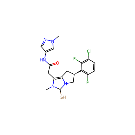 CN1C(CC(=O)Nc2cnn(C)c2)=C2C[C@@H](c3c(F)ccc(Cl)c3F)CN2C1S